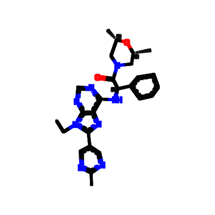 CCn1c(-c2cnc(C)nc2)nc2c(N[C@@H](C(=O)N3C[C@@H](C)O[C@@H](C)C3)c3ccccc3)ncnc21